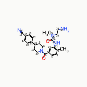 Cc1ccc(C(=O)N2CCC(c3ccc(C#N)cc3)CC2)cc1NC(=O)N(C)CCN